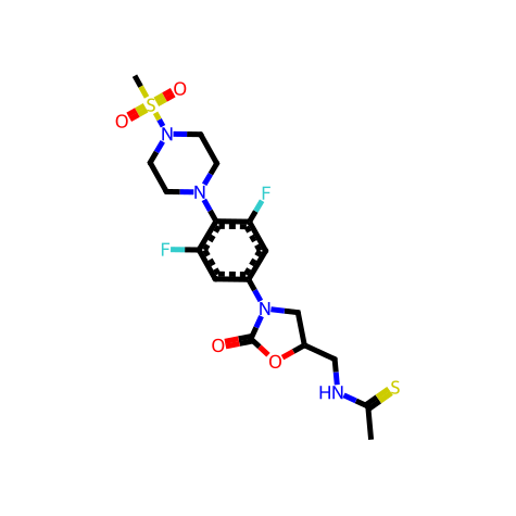 CC(=S)NCC1CN(c2cc(F)c(N3CCN(S(C)(=O)=O)CC3)c(F)c2)C(=O)O1